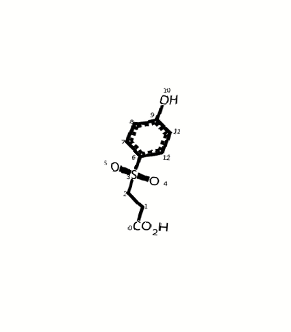 O=C(O)CCS(=O)(=O)c1ccc(O)cc1